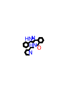 O=C(NCCc1ccccn1)c1ccccc1-c1cc(-c2ccccc2)[nH]n1